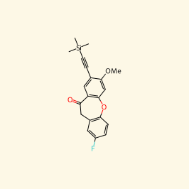 COc1cc2c(cc1C#C[Si](C)(C)C)C(=O)Cc1cc(F)ccc1O2